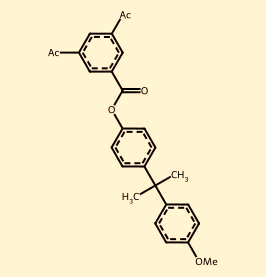 COc1ccc(C(C)(C)c2ccc(OC(=O)c3cc(C(C)=O)cc(C(C)=O)c3)cc2)cc1